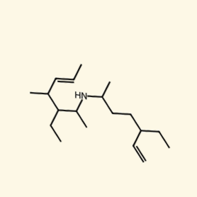 C=CC(CC)CCC(C)NC(C)C(CC)C(C)/C=C/C